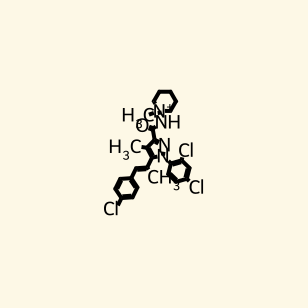 C/C(=C\c1ccc(Cl)cc1)c1c(C)c(C(=O)N[N+]2(C)CCCCC2)nn1-c1ccc(Cl)cc1Cl